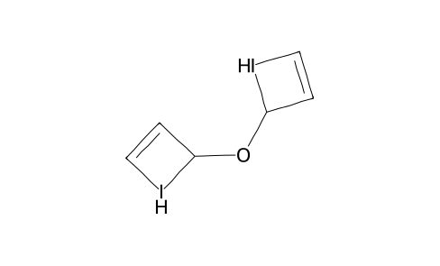 C1=CC(OC2C=C[IH]2)[IH]1